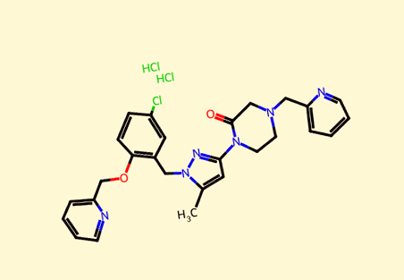 Cc1cc(N2CCN(Cc3ccccn3)CC2=O)nn1Cc1cc(Cl)ccc1OCc1ccccn1.Cl.Cl